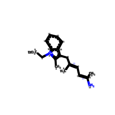 CCOC(=O)Cn1c(C)c(C/C(C)=C/C=C(\C)N)c2ccccc21